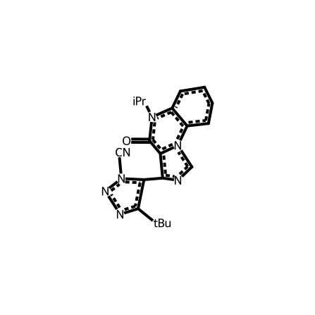 CC(C)n1c(=O)c2c(-c3c(C(C)(C)C)nnn3C#N)ncn2c2ccccc21